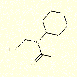 CCN(C(=O)Cl)C1CCOCC1